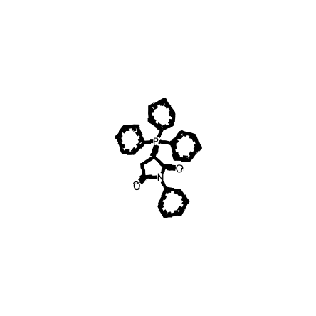 O=C1CC(=P(c2ccccc2)(c2ccccc2)c2ccccc2)C(=O)N1c1ccccc1